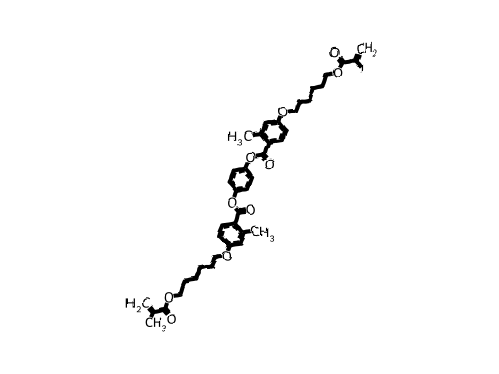 C=C(C)C(=O)OCCCCCCOc1ccc(C(=O)Oc2ccc(OC(=O)c3ccc(OCCCCCCOC(=O)C(=C)I)cc3C)cc2)c(C)c1